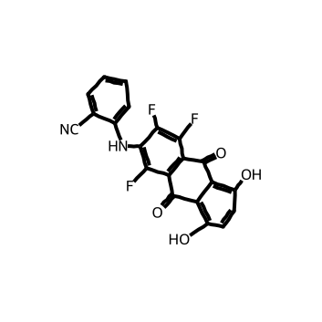 N#Cc1ccccc1Nc1c(F)c(F)c2c(c1F)C(=O)c1c(O)ccc(O)c1C2=O